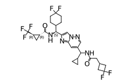 O=C(CC1CC(F)(F)C1)NC(c1cnn2cc([C@@H](NC(=O)[C@@H]3C[C@H]3C(F)(F)F)C3CCC(F)(F)CC3)nc2c1)C1CC1